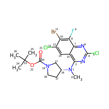 CN(c1nc(Cl)nc2c(F)c(Br)c(Cl)cc12)[C@@H]1CCN(C(=O)OC(C)(C)C)C1